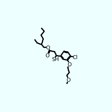 CCCCC(CC)COC(=O)CC(S)c1ccc(Cl)c(OCCCOC)c1